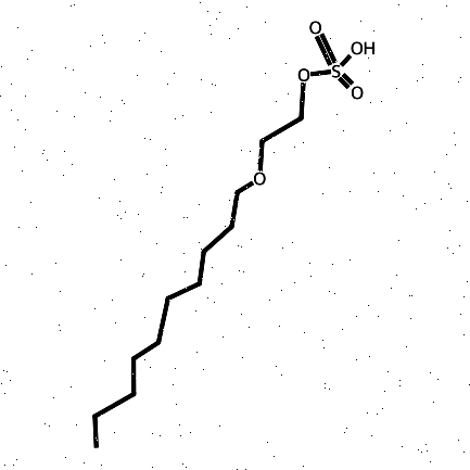 CCCCCCCCCCOCCOS(=O)(=O)O